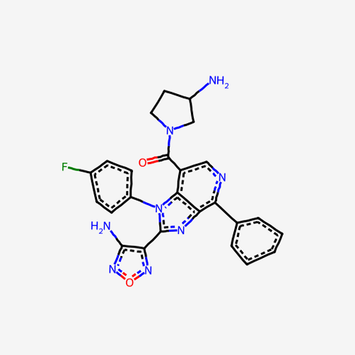 Nc1nonc1-c1nc2c(-c3ccccc3)ncc(C(=O)N3CCC(N)C3)c2n1-c1ccc(F)cc1